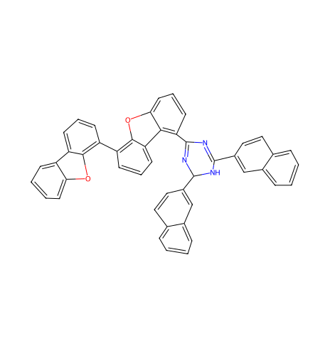 c1ccc2cc(C3=NC(c4cccc5oc6c(-c7cccc8c7oc7ccccc78)cccc6c45)=NC(c4ccc5ccccc5c4)N3)ccc2c1